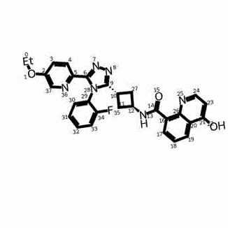 CCOc1ccc(-c2nnc([C@H]3C[C@H](NC(=O)c4cccc5c(O)ccnc45)C3)n2-c2ccccc2F)nc1